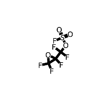 O=S(=O)(F)OC(F)(F)C1(F)OC1(F)F